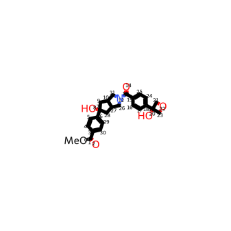 COC(=O)c1ccc(C2(O)CC3CN(C(=O)c4ccc(C5(O)COC5)cc4)CC3C2)cc1